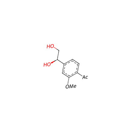 COc1cc([C@@H](O)CO)ccc1C(C)=O